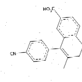 [C-]#[N+]c1ccc(C2=C(C)CCc3ccc(C(=O)O)cc32)cc1